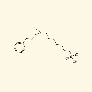 O=S(=O)(O)CCCCCCCC1CN1CCc1ccccc1